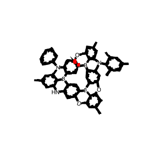 Cc1cc(C)c(N2c3cc4c(cc3B3c5ccccc5Oc5cc(C)cc2c53)B2c3cc5c(cc3Oc3cc(C)cc(c32)O4)Nc2cc(C)cc3c2B5c2ccccc2N3c2ccccc2)c(C)c1